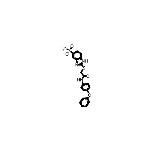 NS(=O)(=O)c1ccc2[nH]c(SCC(=O)Nc3ccc(Oc4ccccc4)cc3)nc2c1